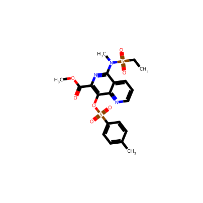 CCS(=O)(=O)N(C)c1nc(C(=O)OC)c(OS(=O)(=O)c2ccc(C)cc2)c2ncccc12